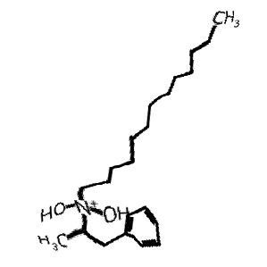 CCCCCCCCCCCCC[N+](O)(O)C(C)Cc1ccccc1